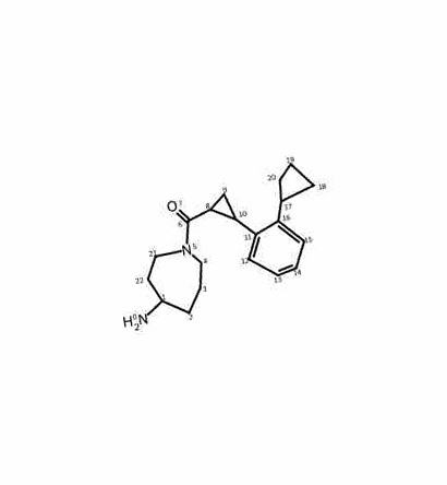 NC1CCCN(C(=O)C2CC2c2ccccc2C2CCC2)CC1